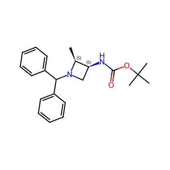 C[C@H]1[C@@H](NC(=O)OC(C)(C)C)CN1C(c1ccccc1)c1ccccc1